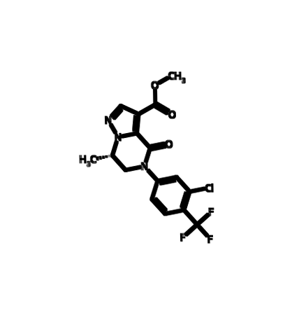 COC(=O)c1cnn2c1C(=O)N(c1ccc(C(F)(F)F)c(Cl)c1)C[C@@H]2C